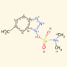 Cc1ccc2nnn(OS(=O)(=O)N(C)C)c2c1